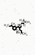 CCCCc1cn(CC(=O)N(C)C)nc1-c1cc(C(C)CC)ccc1OC